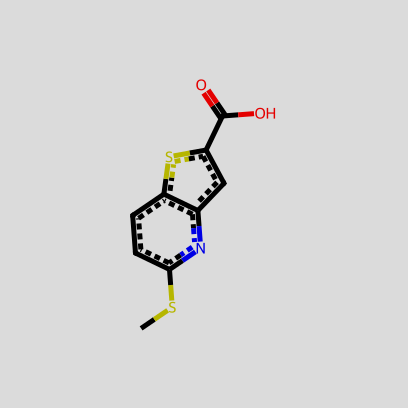 CSc1ccc2sc(C(=O)O)cc2n1